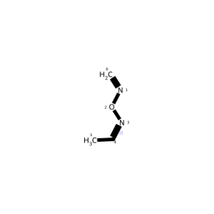 C=NO/N=C\C